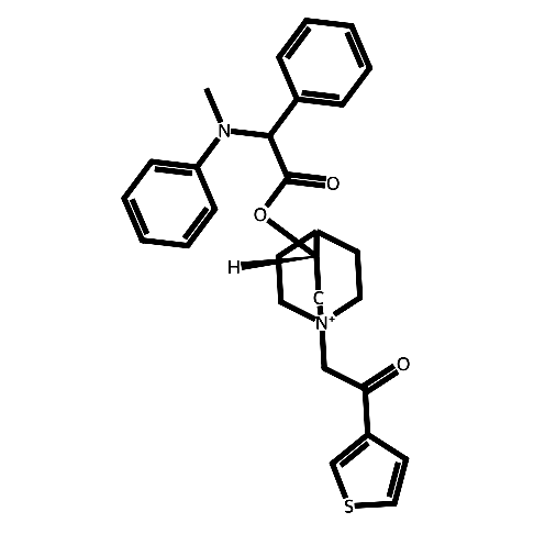 CN(c1ccccc1)C(C(=O)O[C@H]1C[N+]2(CC(=O)c3ccsc3)CCC1CC2)c1ccccc1